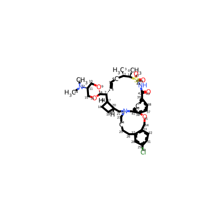 C[C@@H]1[C@@H](C)C/C=C/[C@@H]([C@H]2OC[C@H](N(C)C)CO2)[C@@H]2CC[C@H]2CN2CCCCc3cc(Cl)ccc3COc3ccc(cc32)C(=O)NS1(=O)=O